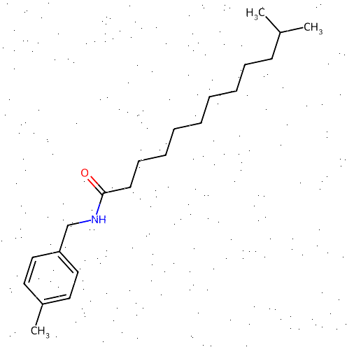 Cc1ccc(CNC(=O)CCCCCCCCCC(C)C)cc1